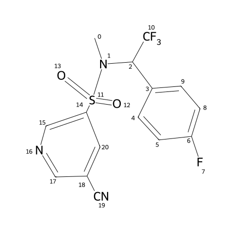 CN(C(c1ccc(F)cc1)C(F)(F)F)S(=O)(=O)c1cncc(C#N)c1